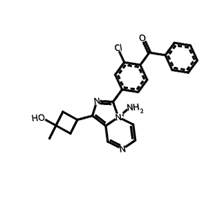 CC1(O)CC(C2=C3C=NC=C[N+]3(N)C(c3ccc(C(=O)c4ccccc4)c(Cl)c3)=N2)C1